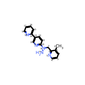 Cc1cccnc1CN(N)c1ccc(-c2ccccn2)cn1